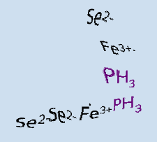 P.P.[Fe+3].[Fe+3].[Se-2].[Se-2].[Se-2]